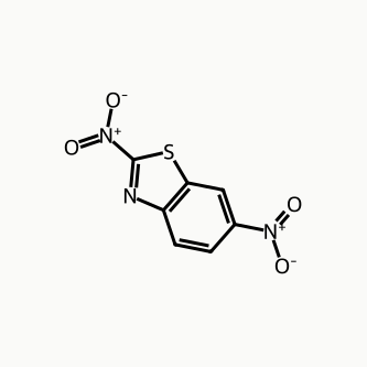 O=[N+]([O-])c1ccc2nc([N+](=O)[O-])sc2c1